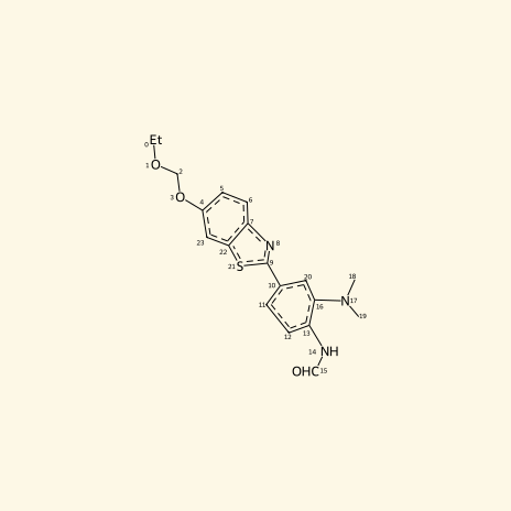 CCOCOc1ccc2nc(-c3ccc(NC=O)c(N(C)C)c3)sc2c1